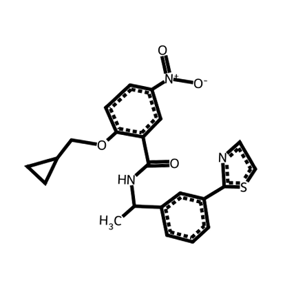 CC(NC(=O)c1cc([N+](=O)[O-])ccc1OCC1CC1)c1cccc(-c2nccs2)c1